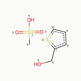 CS(=O)(=O)O.OCc1cccs1